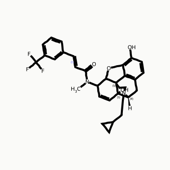 CN(C(=O)/C=C/c1cccc(C(F)(F)F)c1)C1C=C[C@@]2(O)[C@H]3Cc4ccc(O)c5c4[C@@]2(CCN3CC2CC2)C1O5